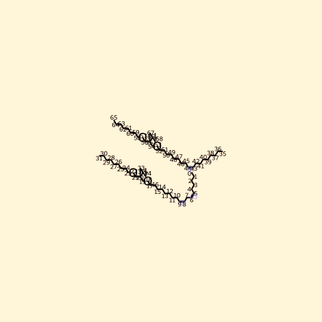 CCCCC/C=C\C/C=C\CCCCCCCCOCC(COCCCCCCCCC)N(C)C.CCCCCCCC/C=C\CCCCCCCCOCC(COCCCCCCCC)N(C)C